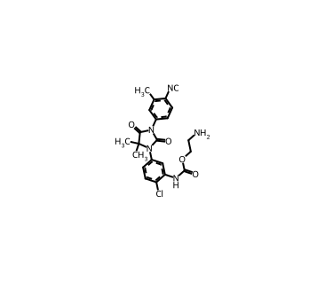 [C-]#[N+]c1ccc(N2C(=O)N(c3ccc(Cl)c(NC(=O)OCCN)c3)C(C)(C)C2=O)cc1C